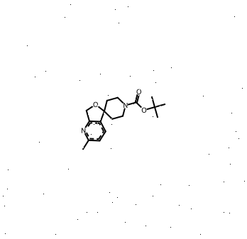 Cc1ccc2c(n1)COC21CCN(C(=O)OC(C)(C)C)CC1